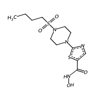 CCCCS(=O)(=O)N1CCN(c2ncc(C(=O)NO)s2)CC1